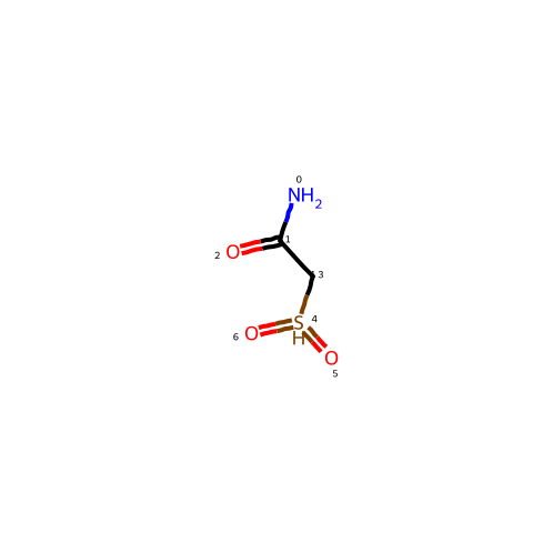 NC(=O)[CH][SH](=O)=O